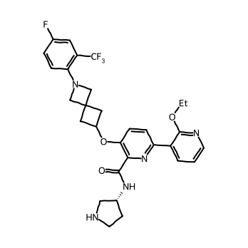 CCOc1ncccc1-c1ccc(OC2CC3(C2)CN(c2ccc(F)cc2C(F)(F)F)C3)c(C(=O)N[C@@H]2CCNC2)n1